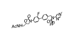 CC(=O)NCC1CN(c2ccc(-c3ccc(CN(c4cn(C)cn4)[SH](=O)=O)cc3)c(F)c2)C(=O)O1